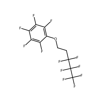 Fc1c(F)c(F)c(OCCC(F)(F)C(F)(F)C(F)(F)F)c(F)c1F